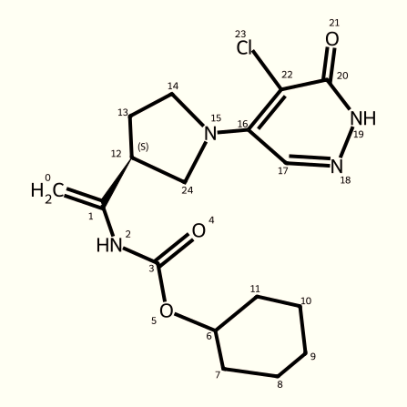 C=C(NC(=O)OC1CCCCC1)[C@H]1CCN(c2cn[nH]c(=O)c2Cl)C1